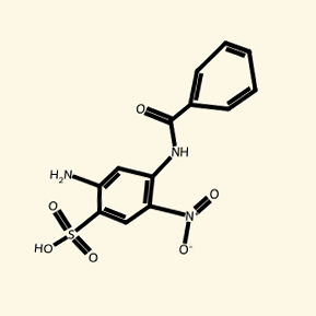 Nc1cc(NC(=O)c2ccccc2)c([N+](=O)[O-])cc1S(=O)(=O)O